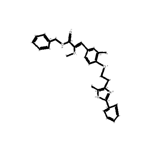 CO/C(=C\c1ccc(OCCc2nc(-c3ccccc3)oc2C)c(C)c1)C(=O)OCc1ccccc1